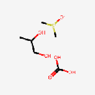 CC(O)CO.C[S+](C)[O-].O=C(O)O